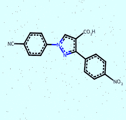 N#Cc1ccc(-n2cc(C(=O)O)c(-c3ccc([N+](=O)[O-])cc3)n2)cc1